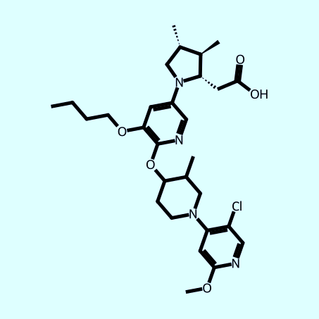 CCCCOc1cc(N2C[C@H](C)[C@@H](C)[C@@H]2CC(=O)O)cnc1OC1CCN(c2cc(OC)ncc2Cl)CC1C